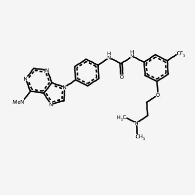 CNc1ncnc2c1ncn2-c1ccc(NC(=O)Nc2cc(OCCN(C)C)cc(C(F)(F)F)c2)cc1